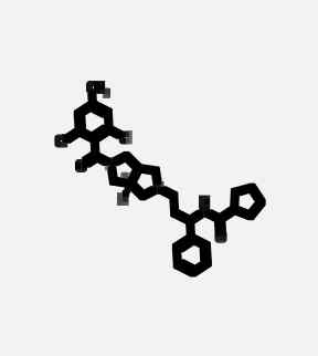 Cc1cc(Cl)c(C(=O)N2CC3CN(CCC(NC(=O)C4CCCC4)c4ccccc4)C[C@H]3C2)c(Cl)c1